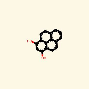 Oc1cc(O)c2ccc3cccc4ccc1c2c43